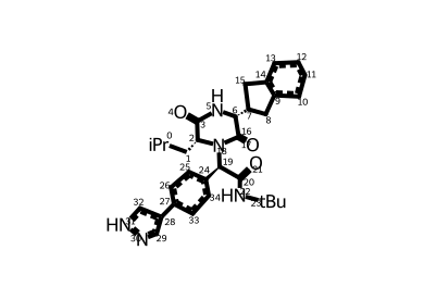 CC(C)C[C@@H]1C(=O)N[C@H](C2Cc3ccccc3C2)C(=O)N1[C@@H](C(=O)NC(C)(C)C)c1ccc(-c2cn[nH]c2)cc1